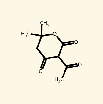 CC(=O)C1C(=O)CC(C)(C)OC1=O